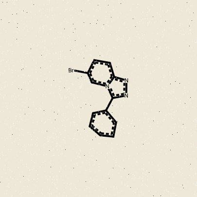 Brc1ccc2nnc(-c3ccccc3)n2c1